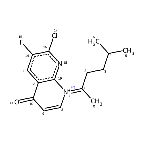 C/C(CCC(C)C)=[N+]1\C=CC(=O)c2cc(F)c(Cl)nc21